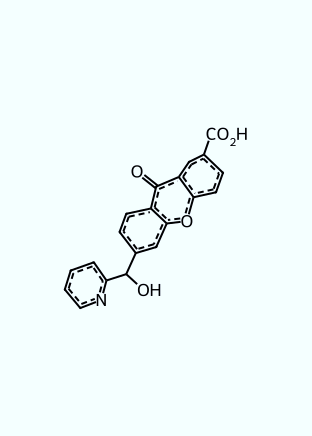 O=C(O)c1ccc2oc3cc(C(O)c4ccccn4)ccc3c(=O)c2c1